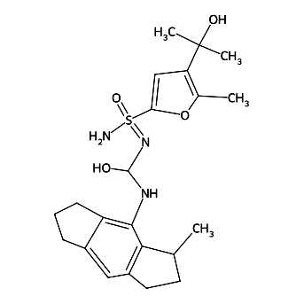 Cc1oc(S(N)(=O)=NC(O)Nc2c3c(cc4c2C(C)CC4)CCC3)cc1C(C)(C)O